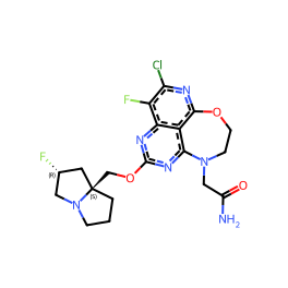 NC(=O)CN1CCOc2nc(Cl)c(F)c3nc(OC[C@@]45CCCN4C[C@H](F)C5)nc1c23